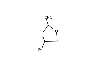 CC(C)C1COC(C=O)O1